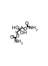 NC(=O)OCC(O)(O)COC(N)=O